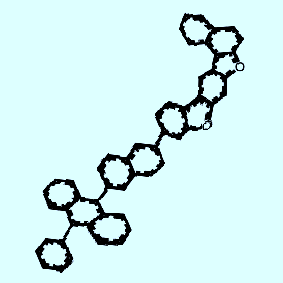 c1ccc(-c2c3ccccc3c(-c3ccc4cc(-c5ccc6c(c5)oc5cc7oc8ccc9ccccc9c8c7cc56)ccc4c3)c3ccccc23)cc1